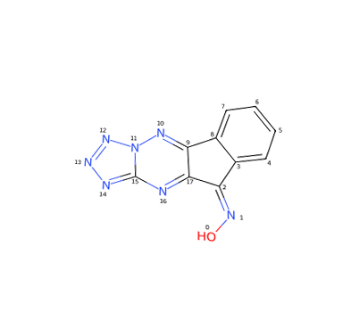 ON=C1c2ccccc2-c2nn3nnnc3nc21